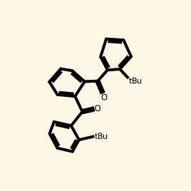 CC(C)(C)c1ccccc1C(=O)c1ccccc1C(=O)c1ccccc1C(C)(C)C